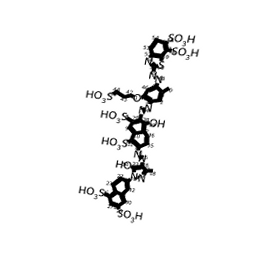 Cc1cc(N=Nc2c(S(=O)(=O)O)cc3c(S(=O)(=O)O)c(N=Nc4c(C)nn(-c5ccc6c(S(=O)(=O)O)cc(S(=O)(=O)O)cc6c5)c4O)ccc3c2O)c(OCCCS(=O)(=O)O)cc1N=Nc1nc2ccc(S(=O)(=O)O)c(S(=O)(=O)O)c2s1